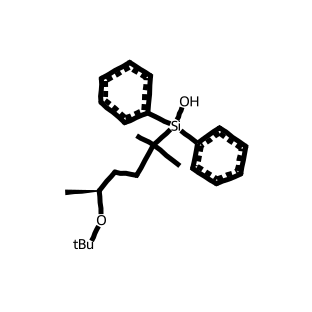 C[C@@H](CCC(C)(C)[Si](O)(c1ccccc1)c1ccccc1)OC(C)(C)C